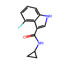 O=C(NC1CC1)c1c[nH]c2cccc(F)c12